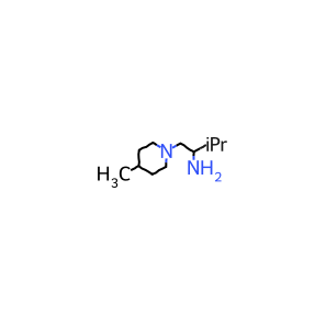 CC1CCN(CC(N)C(C)C)CC1